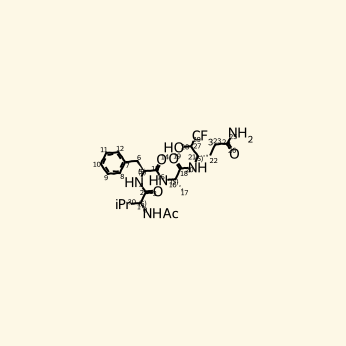 CC(=O)N[C@H](C(=O)N[C@@H](Cc1ccccc1)C(=O)N[C@@H](C)C(=O)N[C@@H](CCC(N)=O)C(O)C(F)(F)F)C(C)C